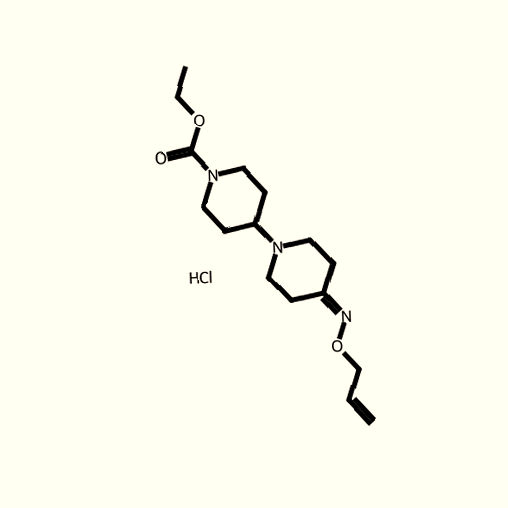 C=CCON=C1CCN(C2CCN(C(=O)OCC)CC2)CC1.Cl